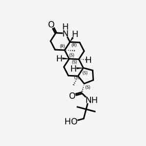 CC(C)(CO)NC(=O)[C@H]1CC[C@H]2[C@@H]3CC[C@H]4NC(=O)CC[C@]4(C)[C@H]3CC[C@]12C